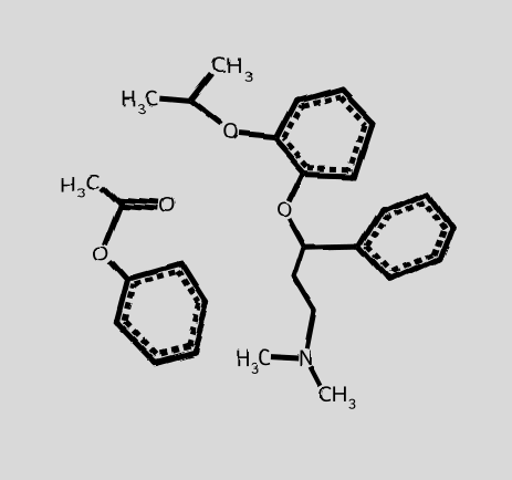 CC(=O)Oc1ccccc1.CC(C)Oc1ccccc1OC(CCN(C)C)c1ccccc1